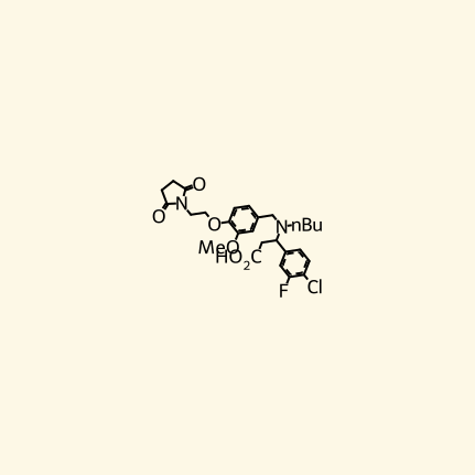 CCCCN(Cc1ccc(OCCN2C(=O)CCC2=O)c(OC)c1)C(CC(=O)O)c1ccc(Cl)c(F)c1